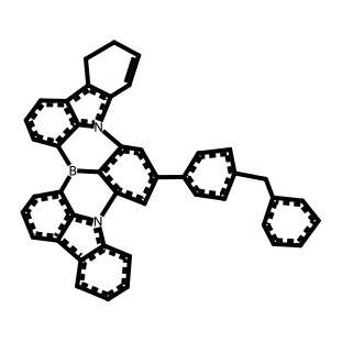 C1=Cc2c(c3cccc4c3n2-c2cc(-c3ccc(Cc5ccccc5)cc3)cc3c2B4c2cccc4c5ccccc5n-3c24)CC1